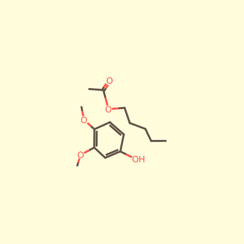 CCCCCOC(C)=O.COc1ccc(O)cc1OC